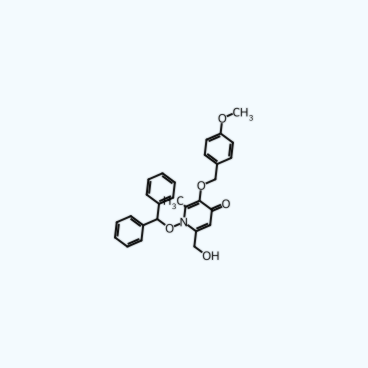 COc1ccc(COc2c(C)n(OC(c3ccccc3)c3ccccc3)c(CO)cc2=O)cc1